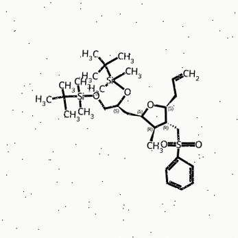 C=CC[C@@H]1O[C@H](C[C@@H](CO[Si](C)(C)C(C)(C)C)O[Si](C)(C)C(C)(C)C)[C@H](C)[C@H]1CS(=O)(=O)c1ccccc1